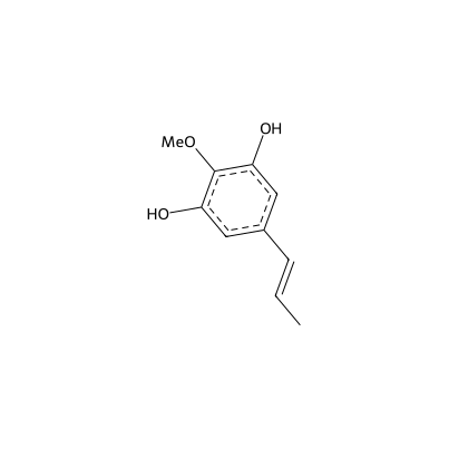 CC=Cc1cc(O)c(OC)c(O)c1